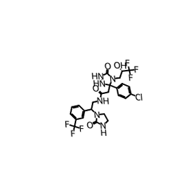 O=C(CC1(c2ccc(Cl)cc2)NNC(=O)N1C[C@H](O)C(F)(F)F)NCC(c1cccc(C(F)(F)F)c1)N1CCNC1=O